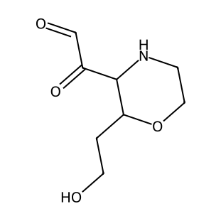 O=CC(=O)C1NCCOC1CCO